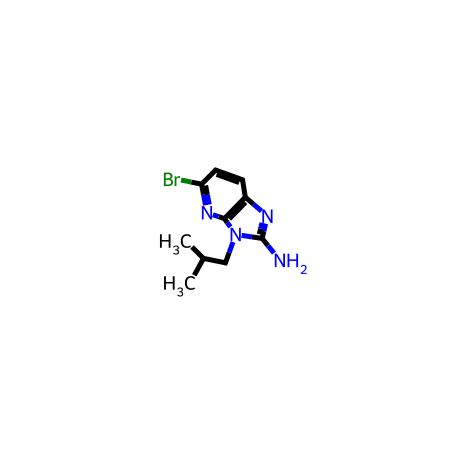 CC(C)Cn1c(N)nc2ccc(Br)nc21